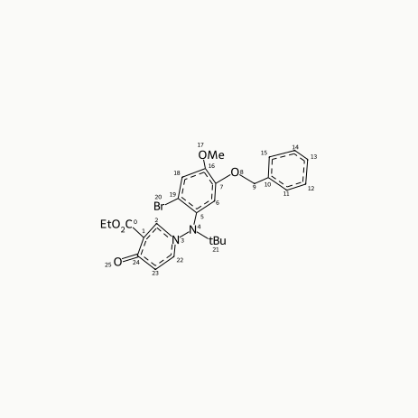 CCOC(=O)c1cn(N(c2cc(OCc3ccccc3)c(OC)cc2Br)C(C)(C)C)ccc1=O